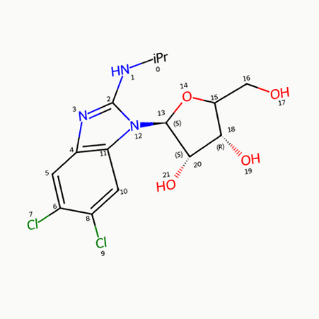 CC(C)Nc1nc2cc(Cl)c(Cl)cc2n1[C@H]1OC(CO)[C@H](O)[C@@H]1O